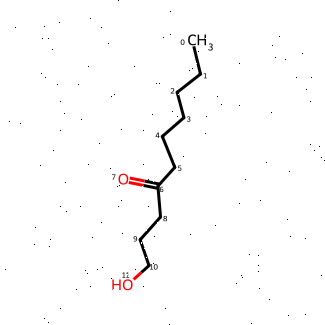 CCCCCCC(=O)CCCO